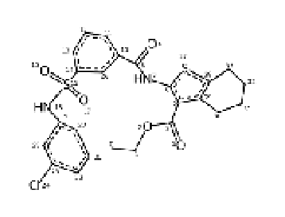 CCOC(=O)c1c(NC(=O)c2cccc(S(=O)(=O)Nc3cccc(Cl)c3)c2)sc2c1CCCC2